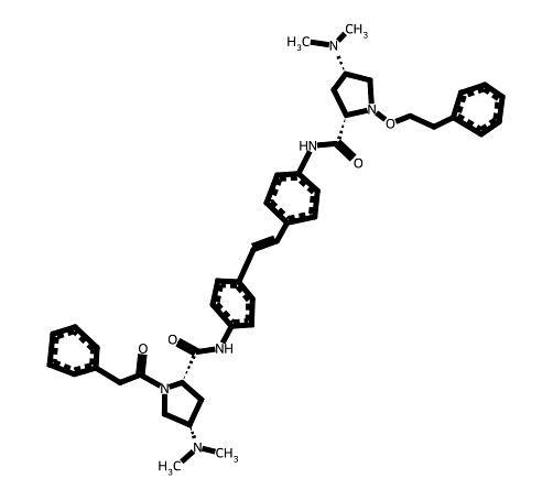 CN(C)[C@H]1C[C@@H](C(=O)Nc2ccc(/C=C/c3ccc(NC(=O)[C@@H]4C[C@H](N(C)C)CN4C(=O)Cc4ccccc4)cc3)cc2)N(OCCc2ccccc2)C1